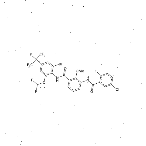 COc1c(NC(=O)c2cc(Cl)ccc2F)cccc1C(=O)Nc1c(Br)cc(C(F)(C(F)(F)F)C(F)(F)F)cc1OC(F)F